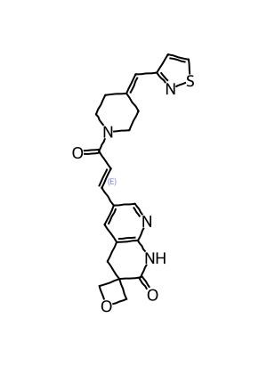 O=C(/C=C/c1cnc2c(c1)CC1(COC1)C(=O)N2)N1CCC(=Cc2ccsn2)CC1